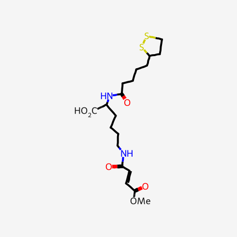 COC(=O)C=CC(=O)NCCCCC(NC(=O)CCCCC1CCSS1)C(=O)O